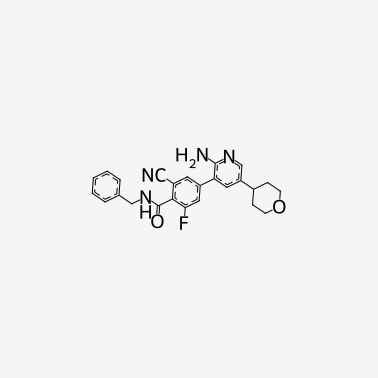 N#Cc1cc(-c2cc(C3CCOCC3)cnc2N)cc(F)c1C(=O)NCc1ccccc1